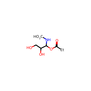 CCC(=O)OC(NC(=O)O)C(O)CO